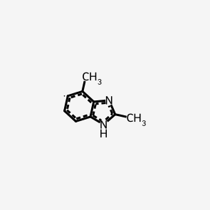 Cc1nc2c(C)[c]ccc2[nH]1